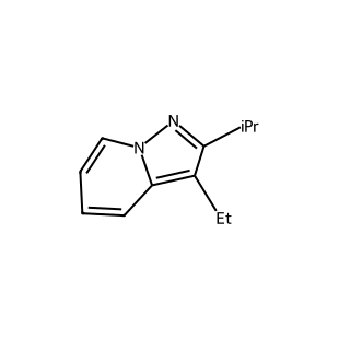 CCc1c(C(C)C)nn2ccccc12